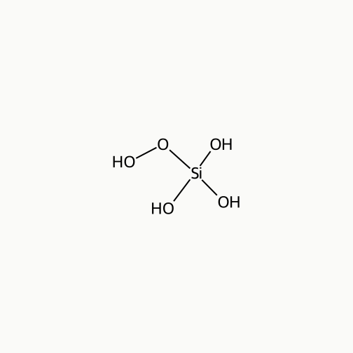 OO[Si](O)(O)O